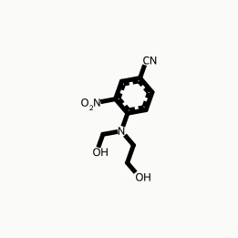 N#Cc1ccc(N(CO)CCO)c([N+](=O)[O-])c1